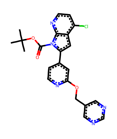 CC(C)(C)OC(=O)n1c(-c2ccnc(OCc3cncnc3)c2)cc2c(Cl)ccnc21